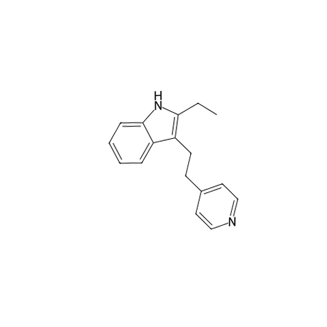 CCc1[nH]c2ccccc2c1CCc1ccncc1